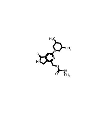 CNC(=O)OCc1nc(N2CC(C)CC(C)C2)cc2c1CNC2=O